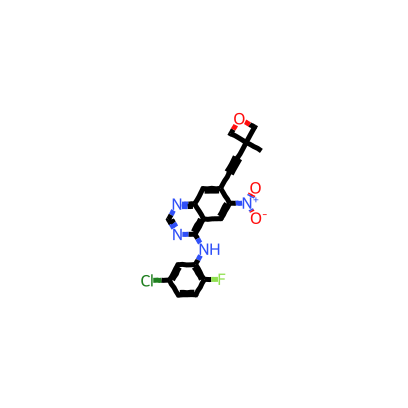 CC1(C#Cc2cc3ncnc(Nc4cc(Cl)ccc4F)c3cc2[N+](=O)[O-])COC1